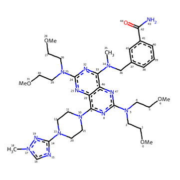 COCCN(CCOC)c1nc(N2CCN(c3ncn(C)n3)CC2)c2nc(N(CCOC)CCOC)nc(N(C)Cc3cccc(C(N)=O)c3)c2n1